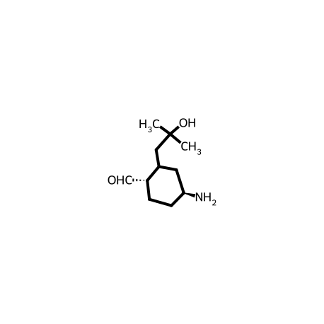 CC(C)(O)CC1C[C@@H](N)CC[C@@H]1C=O